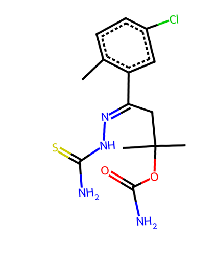 Cc1ccc(Cl)cc1C(CC(C)(C)OC(N)=O)=NNC(N)=S